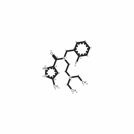 CCN(CC)CCN(Cc1ccccc1F)C(=O)c1cc(C)n[nH]1